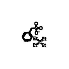 CC[P+](CC)(CC)CC.O=S(=O)([O-])Cc1ccccc1